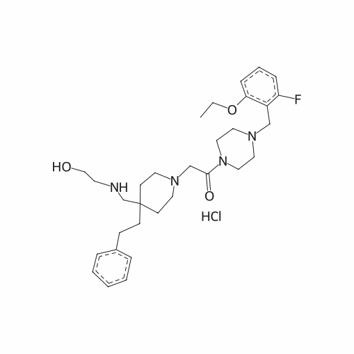 CCOc1cccc(F)c1CN1CCN(C(=O)CN2CCC(CCc3ccccc3)(CNCCO)CC2)CC1.Cl